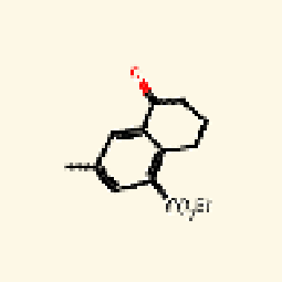 CCOC(=O)c1cc(C)cc2c1CCCC2=O